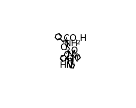 O=C(C[C@H](Cc1ccccc1)NC(=O)[C@H]1CCCN1C(=O)[C@H]1CCCN1)N[C@@H](CC1=CCCC=C1)C(=O)O